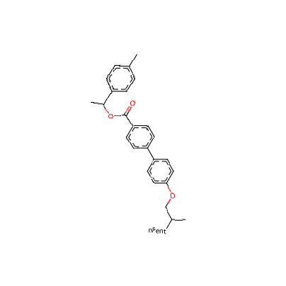 CCCCCC(C)COc1ccc(-c2ccc(C(=O)OC(C)c3ccc(C)cc3)cc2)cc1